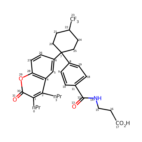 CCCc1c(CCC)c2cc(C3(c4ccc(C(=O)NCCC(=O)O)cc4)CCC(C(F)(F)F)CC3)ccc2oc1=O